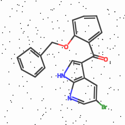 O=C(c1ccccc1OCc1ccccc1)c1c[nH]c2ncc(Br)cc12